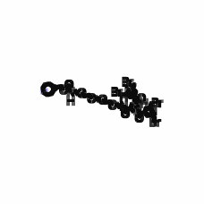 O=C(NCCOCCOCCOCCOCCNC(=O)C(CNC(=O)c1cc(CBr)nc(CBr)c1)CNC(=O)c1cc(CBr)nc(CBr)c1)OCC1C2CC/C=C\CCC21